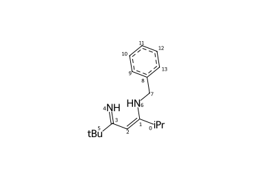 CC(C)/C(=C/C(=N)C(C)(C)C)NCc1ccccc1